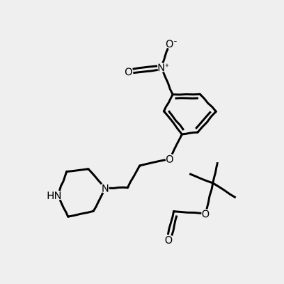 CC(C)(C)OC=O.O=[N+]([O-])c1cccc(OCCN2CCNCC2)c1